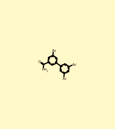 CC(=O)c1cc(C(C)=O)cc(-c2cc(C(C)=O)cc(C(=O)P)c2)c1